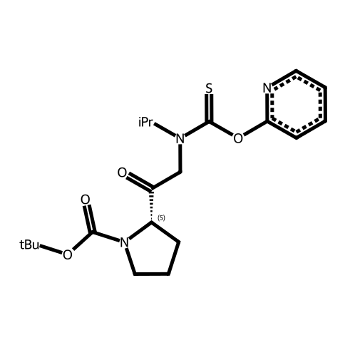 CC(C)N(CC(=O)[C@@H]1CCCN1C(=O)OC(C)(C)C)C(=S)Oc1ccccn1